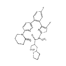 CN(C(=O)C(CC(=O)O)CC1CCCC1)c1nc(-c2cc(F)ccc2-c2ccc(N3CCCCC3=O)nc2)c(F)s1